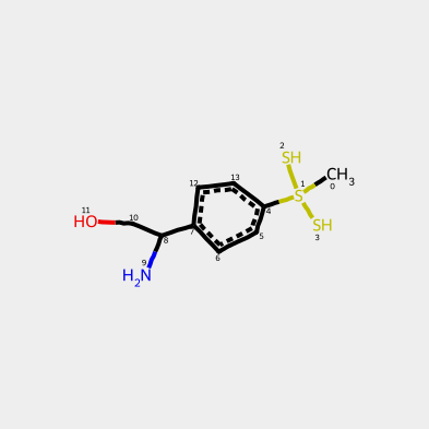 CS(S)(S)c1ccc(C(N)CO)cc1